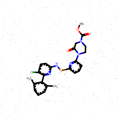 Cc1cccc(C)c1-c1nc(NSc2cccc(N3CCN(C(=O)OC(C)(C)C)CC3=O)n2)ccc1Cl